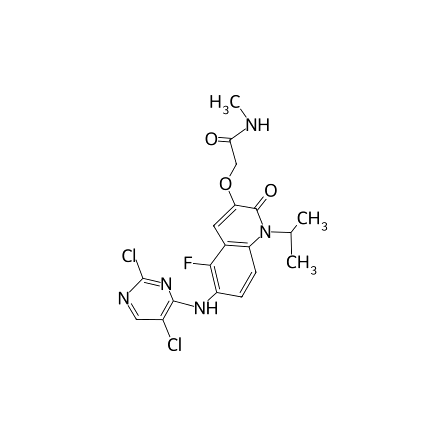 CNC(=O)COc1cc2c(F)c(Nc3nc(Cl)ncc3Cl)ccc2n(C(C)C)c1=O